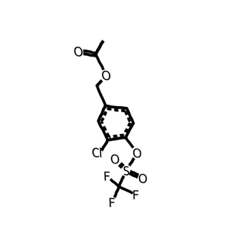 CC(=O)OCc1ccc(OS(=O)(=O)C(F)(F)F)c(Cl)c1